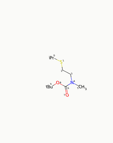 CC(C)SCCN(C)C(=O)OC(C)(C)C